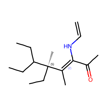 C=CN/C(C(C)=O)=C(/C)[C@@](C)(CC)C(CC)CC